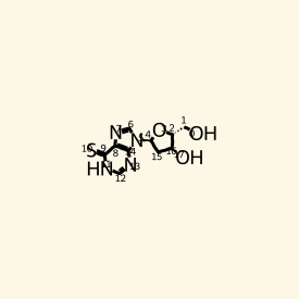 OC[C@H]1O[C@H](n2cnc3c(=S)[nH]cnc32)C[C@@H]1O